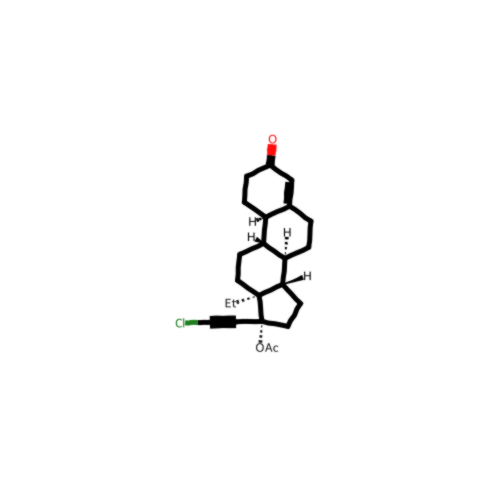 CC[C@]12CC[C@H]3[C@@H](CCC4=CC(=O)CC[C@@H]43)[C@@H]1CC[C@]2(C#CCl)OC(C)=O